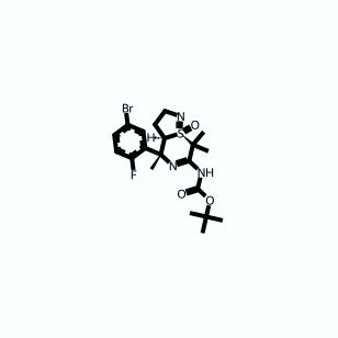 CC(C)(C)OC(=O)NC1=N[C@](C)(c2cc(Br)ccc2F)[C@H]2CCN=[S@@]2(=O)C1(C)C